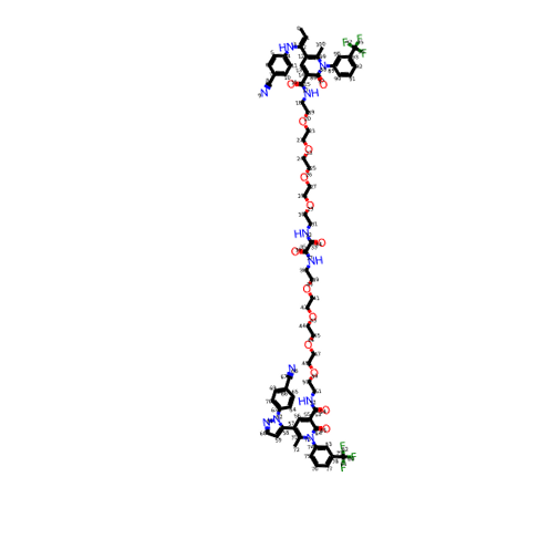 C/C=C(\Nc1ccc(C#N)cc1)c1cc(C(=O)NCCOCCOCCOCCOCCNC(=O)C(=O)NCCOCCOCCOCCOCCNC(=O)c2cc(-c3ccnn3-c3ccc(C#N)cc3)c(C)n(-c3cccc(C(F)(F)F)c3)c2=O)c(=O)n(-c2cccc(C(F)(F)F)c2)c1C